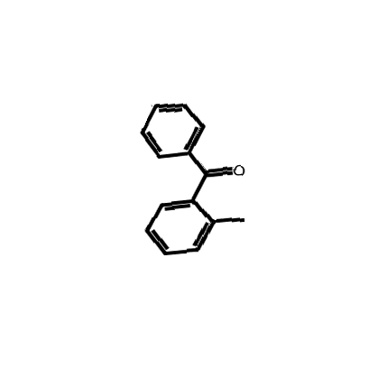 Cc1ccccc1C(=O)c1cc[c]cc1